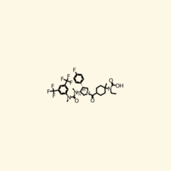 CCN(C(=O)O)C1(C)CCC(C(=O)N2C[C@@H](N(C)C(=O)N(C)c3cc(C(F)(F)F)cc(C(F)(F)F)c3)[C@H](c3ccc(F)cc3)C2)CC1